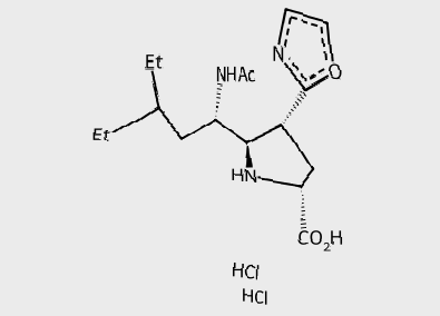 CCC(CC)C[C@H](NC(C)=O)[C@@H]1N[C@@H](C(=O)O)C[C@H]1c1ncco1.Cl.Cl